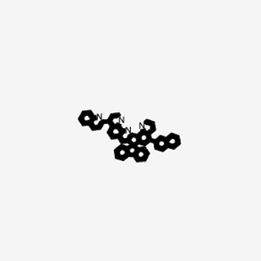 c1ccc2c(c1)-c1ccccc1C21c2cc3ccc4c(-c5ccc6ccccc6n5)ccnc4c3nc2-c2c1cc(-c1ccc3ccccc3c1)c1cccnc21